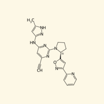 C#Cc1cc(Nc2cc(C)[nH]n2)nc(N2CCC[C@H]2c2cc(-c3ccccn3)no2)n1